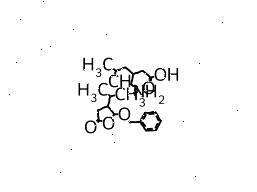 CC(C)C1CC(=O)OC1OCc1ccccc1.CC(C)CC(CN)CC(=O)O